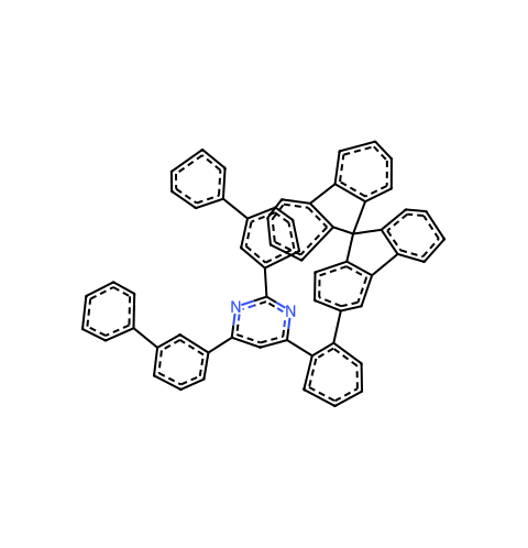 c1ccc(-c2cccc(-c3cc(-c4ccccc4-c4ccc5c(c4)-c4ccccc4C54c5ccccc5-c5ccccc54)nc(-c4cccc(-c5ccccc5)c4)n3)c2)cc1